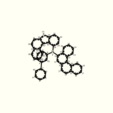 c1ccc(-c2cccc(N(c3cc4ccc5ccccc5c4c4ccccc34)c3cccc4sc5ccc6ccccc6c5c34)c2)cc1